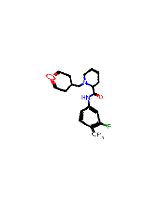 O=C(Nc1ccc(C(F)(F)F)c(F)c1)C1CCCCN1CC1CCOCC1